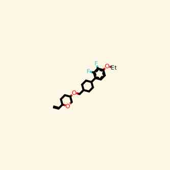 C=CC1CCC(OCC2CCC(c3ccc(OCC)c(F)c3F)CC2)CO1